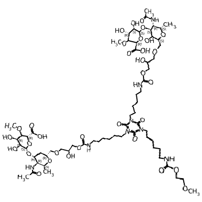 COCCOC(=O)NCCCCCCn1c(=O)n(CCCCCCNC(=O)OCC(O)COC[C@H]2C[C@@H](O[C@H]3O[C@@H](C(=O)O)C(OC)[C@H](O)[C@@H]3O)[C@H](NC(C)=O)[C@H](C)O2)c(=O)n(CCCCCCNC(=O)OCC(O)COC[C@@H]2O[C@@H](C)[C@@H](NC(C)=O)[C@H](O[C@H]3O[C@@H](C(=O)O)C(OC)[C@H](O)[C@@H]3O)C2O)c1=O